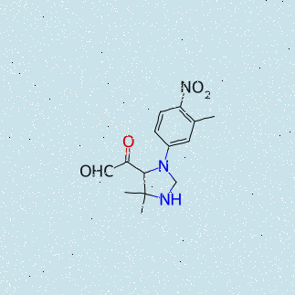 Cc1cc(N2CNC(C)(C)C2C(=O)C=O)ccc1[N+](=O)[O-]